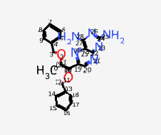 C[C@H](OCc1ccccc1)[C@H](OCc1ccccc1)c1cnc2nc(N)nc(N)c2n1